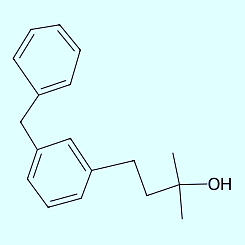 CC(C)(O)CCc1cccc(Cc2ccccc2)c1